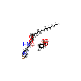 CCCCCCCCCCCCCC[C@H]1CO[C@H](COC(=O)NCCCC[n+]2ccsc2)C1.Cc1ccc(S(=O)(=O)[O-])cc1